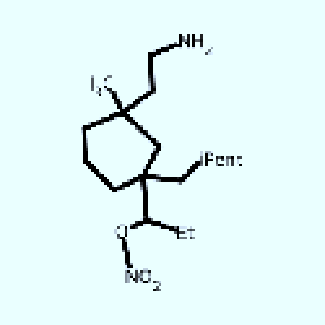 CCCC(C)CC1(C(CC)O[N+](=O)[O-])CCCC(C)(CCN)C1